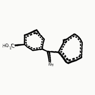 N=C(c1ccccc1)c1cccc(C(=O)O)c1